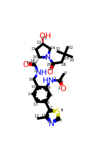 CC(=O)Nc1cc(-c2scnc2C)ccc1CNC(=O)[C@@H]1C[C@@H](O)CN1C(=O)CC(C)(C)C